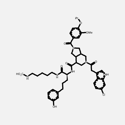 COc1cc(C(=O)N2CC3CN(C(=O)Cc4c[nH]c5cc(Cl)ccc45)CC(C(=O)N[C@@H](CCCc4cccc(O)c4)C(=O)NCCCCCNC(=O)O)C3C2)ccc1OC(C)C